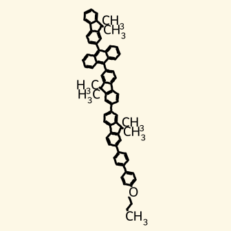 CCCCOc1ccc(-c2ccc(-c3ccc4c(c3)C(C)(C)c3cc(-c5ccc6c(c5)C(C)(C)c5cc(-c7c8ccccc8c(-c8ccc9c(c8)C(C)(C)c8ccccc8-9)c8ccccc78)ccc5-6)ccc3-4)cc2)cc1